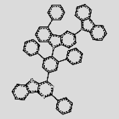 c1ccc(-c2nc(-c3cc(-c4ccccc4)c(-n4c5ccc(-n6c7ccccc7c7ccccc76)cc5c5c(-c6ccccc6)cccc54)c(-c4ccccc4)c3)c3oc4ccccc4c3n2)cc1